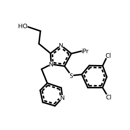 CC(C)c1nc(CCO)n(Cc2cccnc2)c1Sc1cc(Cl)cc(Cl)c1